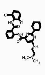 CN(C)CCNc1cc(C(=O)Nc2ccccc2C(=O)Nc2c(Cl)cccc2Cl)nc(-c2ccccc2)n1